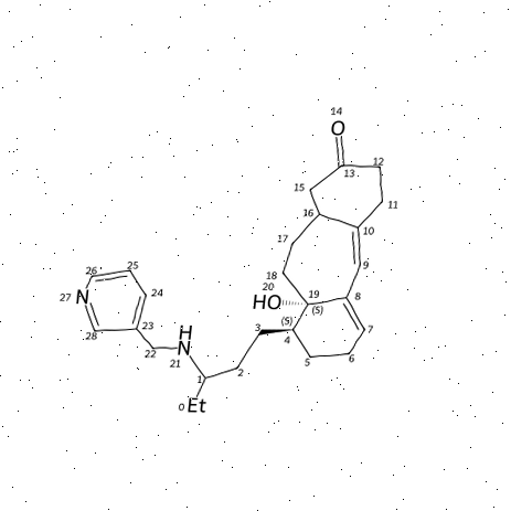 CCC(CC[C@@H]1CCC=C2C=C3CCC(=O)CC3CC[C@@]21O)NCc1cccnc1